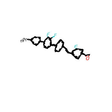 CCCc1ccc(-c2ccc(-c3ccc(/C=C/c4ccc(C5CO5)cc4F)cc3)c(F)c2F)cc1